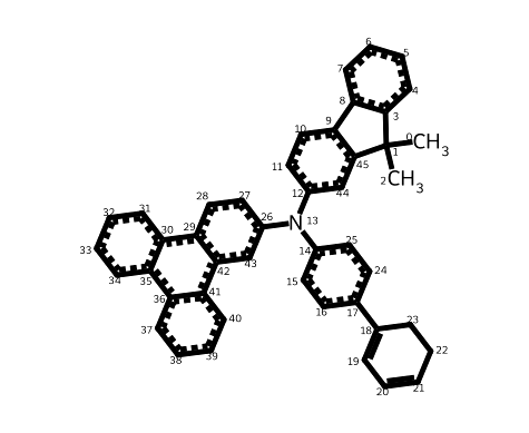 CC1(C)c2ccccc2-c2ccc(N(c3ccc(C4=CC=CCC4)cc3)c3ccc4c5ccccc5c5ccccc5c4c3)cc21